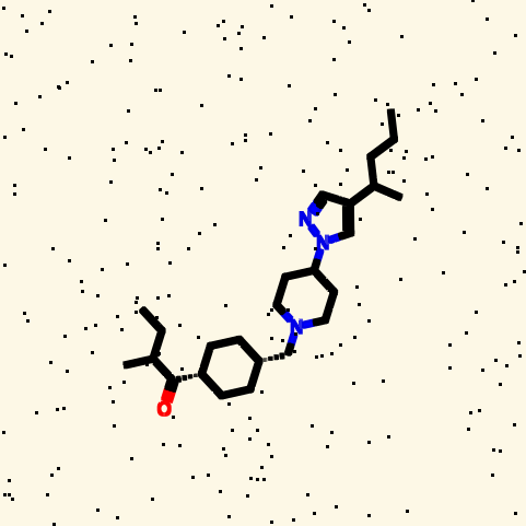 CCCC(C)c1cnn(C2CCN(C[C@H]3CC[C@@H](C(=O)C(C)CC)CC3)CC2)c1